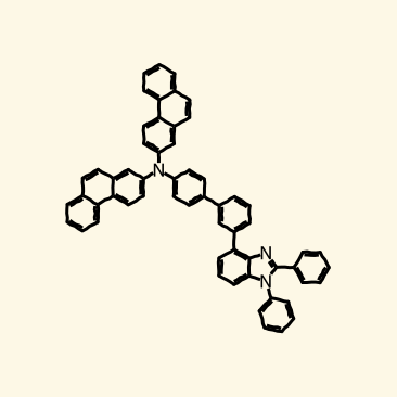 c1ccc(-c2nc3c(-c4cccc(-c5ccc(N(c6ccc7c(ccc8ccccc87)c6)c6ccc7c(ccc8ccccc87)c6)cc5)c4)cccc3n2-c2ccccc2)cc1